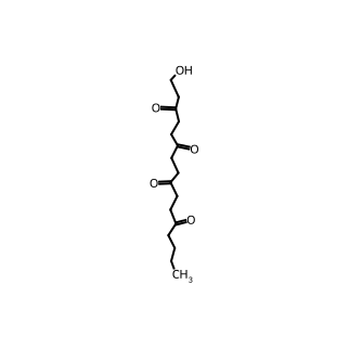 CCCCC(=O)CCC(=O)CCC(=O)CCC(=O)CCO